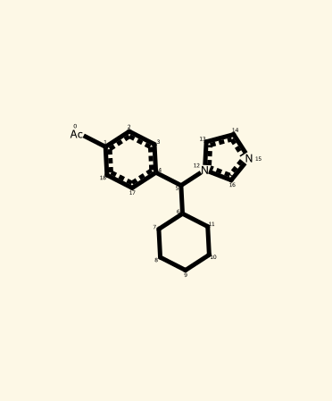 CC(=O)c1ccc(C(C2CCCCC2)n2ccnc2)cc1